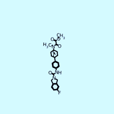 COC(=O)C(=O)N(C)C12CCC(c3ccc(NC(=O)N4Cc5ccc(F)cc5C4)cc3)(CC1)CC2